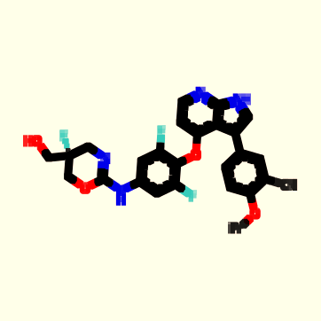 CC(C)Oc1ccc(-c2c[nH]c3nccc(Oc4c(F)cc(NC5=NC[C@](F)(CO)CO5)cc4F)c23)cc1C#N